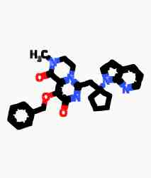 CN1CCn2c(CC3(n4ccc5cccnc54)CCCC3)nc(=O)c(OCc3ccccc3)c2C1=O